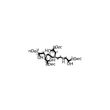 CCCCCCCCCCC(O)CNCCN(CCN(CC(O)CCCCCCCCCC)CC(O)CCCCCCCCCC)CC(O)CCCCCCCCCC